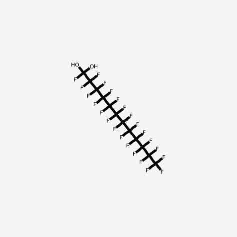 OC(O)(F)C(F)(F)C(F)(F)C(F)(F)C(F)(F)C(F)(F)C(F)(F)C(F)(F)C(F)(F)C(F)(F)C(F)(F)C(F)(F)F